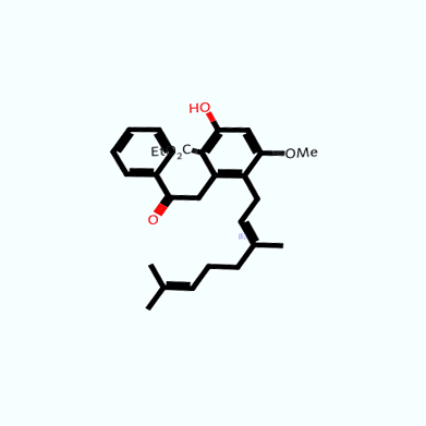 CCOC(=O)c1c(O)cc(OC)c(C/C=C(\C)CCC=C(C)C)c1CC(=O)c1ccccc1